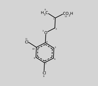 CC(COc1ccc(Cl)cc1Cl)C(=O)O